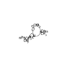 CCCN(C)CC(=O)N1CCC2(CC1)COC(=O)C(C)C(=O)CC[C@](C)(OC)CCCN2C